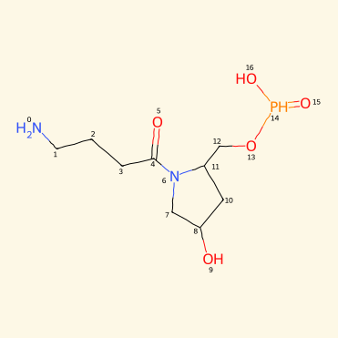 NCCCC(=O)N1CC(O)CC1CO[PH](=O)O